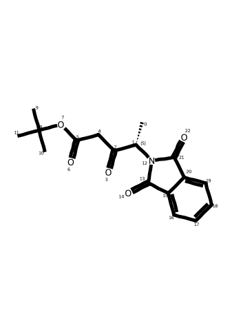 C[C@@H](C(=O)CC(=O)OC(C)(C)C)N1C(=O)c2ccccc2C1=O